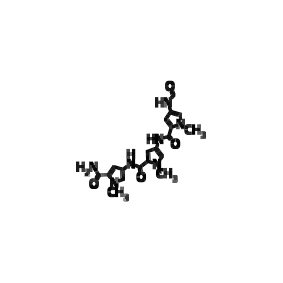 Cn1cc(NC(=O)c2cc(NC(=O)c3cc(NC=O)cn3C)cn2C)cc1C(N)=O